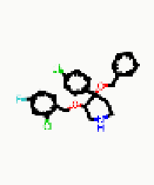 Fc1ccc(COC2CNCCC2(OCc2ccccc2)c2ccc(Cl)cc2)c(Cl)c1